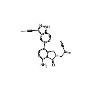 C=C(C#N)CN1Cc2c(-c3ccc4[nH]nc(C#CC)c4c3)ccc(N)c2C1=O